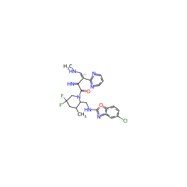 CN/C=C(\C(=N)C(=O)N1CC(F)(F)CC(C)C1CNc1nc2cc(Cl)ccc2o1)c1ncccn1